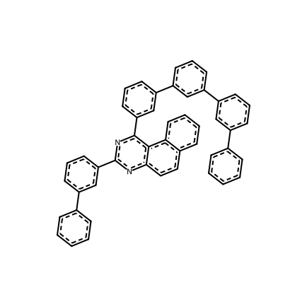 c1ccc(-c2cccc(-c3cccc(-c4cccc(-c5nc(-c6cccc(-c7ccccc7)c6)nc6ccc7ccccc7c56)c4)c3)c2)cc1